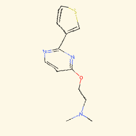 CN(C)CCOc1ccnc(-c2ccsc2)n1